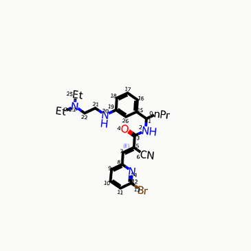 CCCC(NC(=O)/C(C#N)=C/c1cccc(Br)n1)c1cccc(NCCN(CC)CC)c1